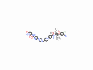 CC1(C)C(NC(=O)c2ccc(N3CCC(CN4CCN(c5ccc(C(=O)N[C@@H]6CCC(=O)NC6=O)nc5)CC4)CC3)cc2)C(C)(C)C1Oc1ccc(C#N)c(Cl)c1